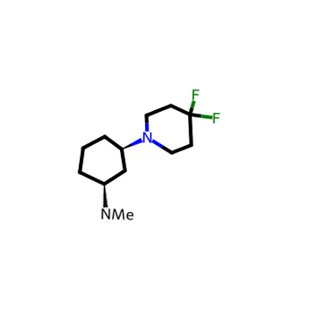 CN[C@H]1CCC[C@@H](N2CCC(F)(F)CC2)C1